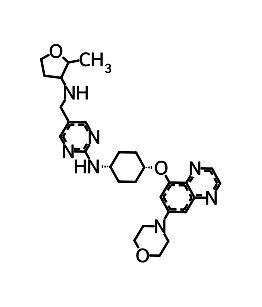 CC1OCCC1NCc1cnc(N[C@H]2CC[C@@H](Oc3cc(N4CCOCC4)cc4nccnc34)CC2)nc1